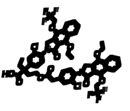 CCOc1c2c(c(OCC(F)(F)F)c3ccccc13)C(=O)N(c1ccc(CC(=O)OCCC(CC)(C(=O)O)c3ccc(N4Cc5c(c(OCC)c6ccccc6c5OCC(F)(F)F)C4=O)c(Cl)c3)cc1Cl)C2